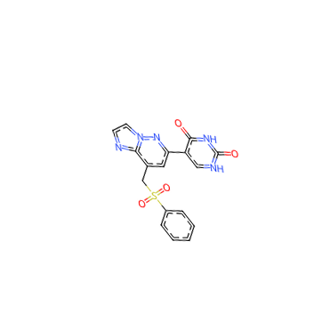 O=c1[nH]cc(-c2cc(CS(=O)(=O)c3ccccc3)c3nccn3n2)c(=O)[nH]1